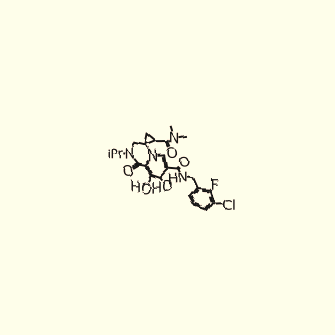 CC(C)N1CC2(CC2C(=O)N(C)C)N2C=C(C(=O)NCc3cccc(Cl)c3F)C(O)C(O)=C2C1=O